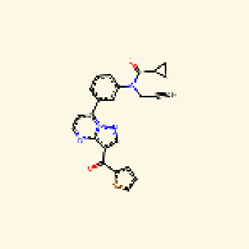 C#CCN(C(=O)C1CC1)c1cccc(-c2ccnc3c(C(=O)c4cccs4)cnn23)c1